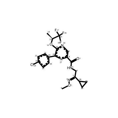 CON=C(CNC(=O)c1cnc(O[C@@H](C)C(F)(F)F)c(-c2ccc(Cl)cc2)n1)C1CC1